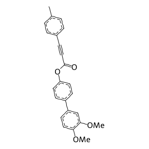 COc1ccc(-c2ccc(OC(=O)C#Cc3ccc(C)cc3)cc2)cc1OC